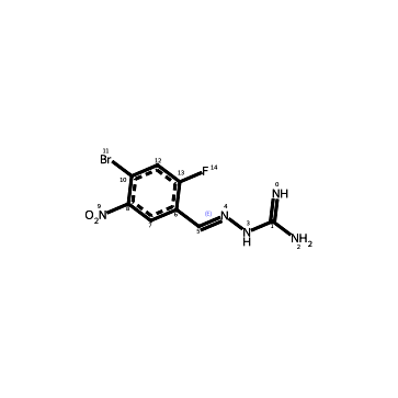 N=C(N)N/N=C/c1cc([N+](=O)[O-])c(Br)cc1F